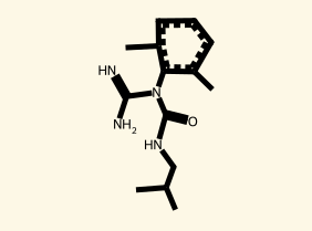 Cc1cccc(C)c1N(C(=N)N)C(=O)NCC(C)C